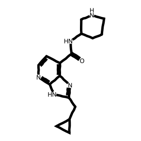 O=C(NC1CCCNC1)c1ccnc2[nH]c(CC3CC3)nc12